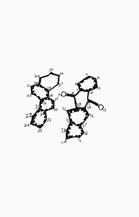 O=C1c2ccccc2C(=O)c2cc3ccccc3cc21.c1ccc2c(c1)ccc1c3c(ccc12)CCCC3